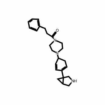 O=C(CCc1ccccc1)N1CCN(C2C=CC(C34CNCC3C4)=CC2)CC1